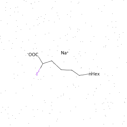 CCCCCCCCCCC(I)C(=O)[O-].[Na+]